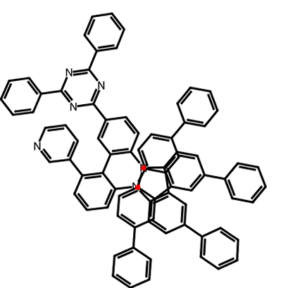 c1ccc(-c2ccc3c(c2)c2cc(-c4ccccc4)ccc2n3-c2ccc(-c3nc(-c4ccccc4)nc(-c4ccccc4)n3)cc2-c2c(-c3cccnc3)cccc2-n2c3ccc(-c4ccccc4)cc3c3cc(-c4ccccc4)ccc32)cc1